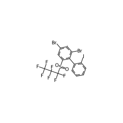 O=S(=O)(c1cc(Br)[c]c(Br)c1-c1ccccc1I)C(F)(F)C(F)(F)C(F)(F)F